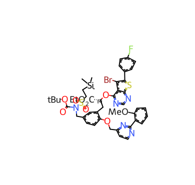 CCOC(=O)[C@@H](Cc1cc(CN(C(=O)OC(C)(C)C)S(=O)(=O)CC[Si](C)(C)C)ccc1OCc1ccnc(-c2ccccc2OC)n1)Oc1ncnc2sc(-c3ccc(F)cc3)c(Br)c12